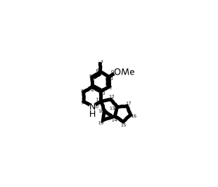 COc1cc2c(cc1C)CCNC2(CC1CCCC1)C1CC1